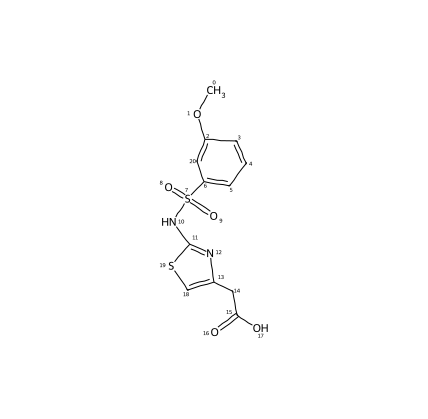 COc1cccc(S(=O)(=O)Nc2nc(CC(=O)O)cs2)c1